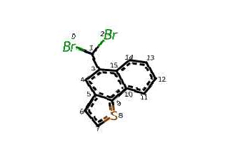 BrC(Br)c1cc2ccsc2c2ccccc12